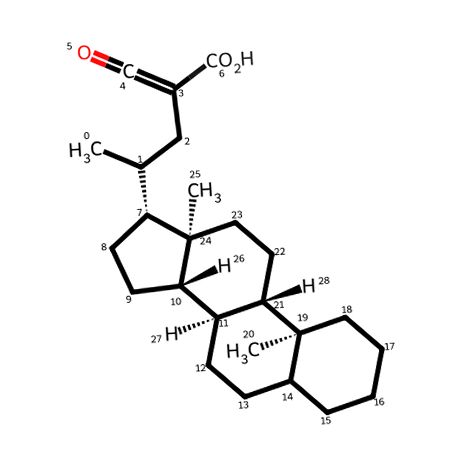 CC(CC(=C=O)C(=O)O)[C@H]1CC[C@H]2[C@@H]3CCC4CCCC[C@]4(C)[C@H]3CC[C@]12C